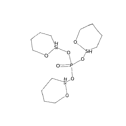 O=P(O[SiH]1CCCCO1)(O[SiH]1CCCCO1)O[SiH]1CCCCO1